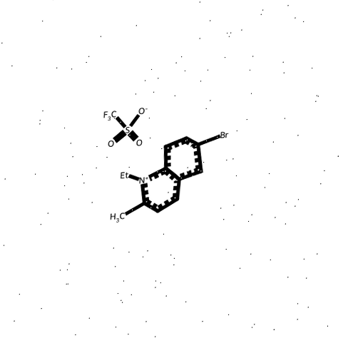 CC[n+]1c(C)ccc2cc(Br)ccc21.O=S(=O)([O-])C(F)(F)F